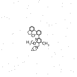 COc1nc(-c2cccc(-c3cccc4c3CCC4)c2Cl)cc(C)c1CN1CC2CC2C1